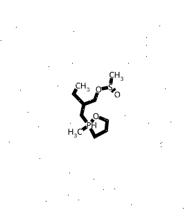 CCC(COS(C)=O)C[PH]1(C)CCCO1